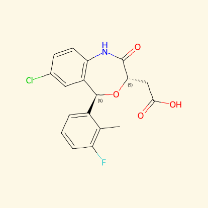 Cc1c(F)cccc1[C@@H]1O[C@@H](CC(=O)O)C(=O)Nc2ccc(Cl)cc21